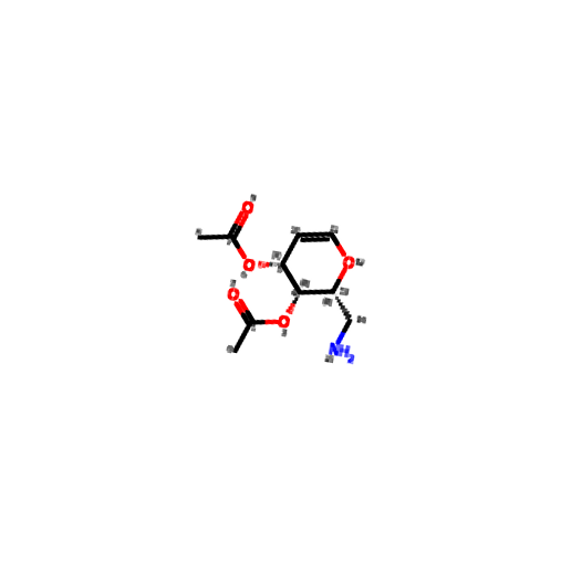 CC(=O)O[C@@H]1[C@H](OC(C)=O)C=CO[C@@H]1CN